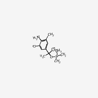 Cc1cc(C(C)(O[Si](C)(C)C)C(F)(F)F)cc(Cl)c1N